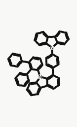 c1ccc(-c2cccc(-n3c4ccccc4c4cccc(-c5ccc(-n6c7ccccc7c7ccccc76)cc5)c43)c2-c2ccccc2)cc1